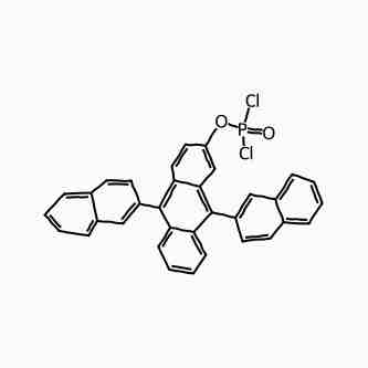 O=P(Cl)(Cl)Oc1ccc2c(-c3ccc4ccccc4c3)c3ccccc3c(-c3ccc4ccccc4c3)c2c1